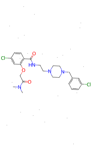 CN(C)C(=O)COc1cc(Cl)ccc1C(=O)NCCN1CCN(Cc2cccc(Cl)c2)CC1